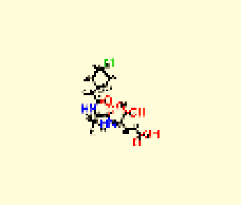 CC(C(=O)N[C@H](C(=O)N[C@H](CCC(=O)O)C(=O)O)C(C)(C)C)c1ccc(Cl)cc1